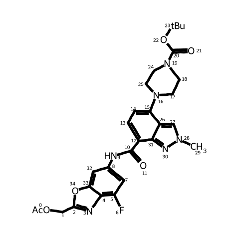 CC(=O)OCc1nc2c(F)cc(NC(=O)c3ccc(N4CCN(C(=O)OC(C)(C)C)CC4)c4cn(C)nc34)cc2o1